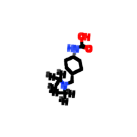 [2H]C([2H])([2H])N(C[C@H]1CC[C@H](NC(=O)O)CC1)C([2H])([2H])[2H]